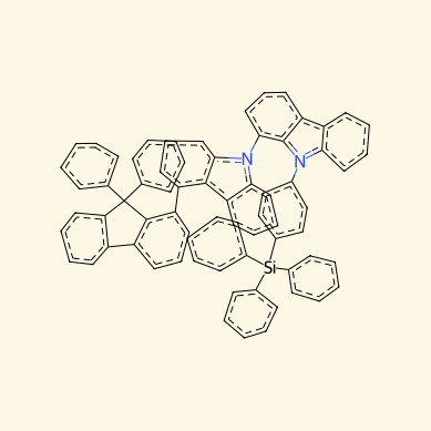 c1ccc(C2(c3ccccc3)c3ccccc3-c3cccc(-c4cccc5c4c4ccccc4n5-c4cccc5c6ccccc6n(-c6ccc([Si](c7ccccc7)(c7ccccc7)c7ccccc7)cc6)c45)c32)cc1